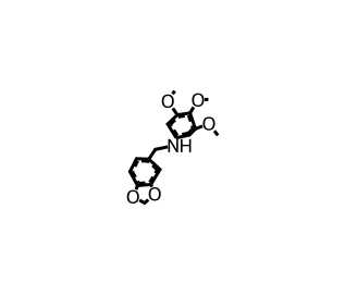 COc1cc(NCc2ccc3c(c2)OCO3)cc(OC)c1OC